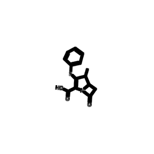 CC1C(Sc2ccccc2)=C(C(=O)O)N2C(=O)CC12